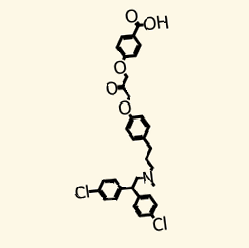 CN(CCCc1ccc(OCC(=O)COc2ccc(C(=O)O)cc2)cc1)CC(c1ccc(Cl)cc1)c1ccc(Cl)cc1